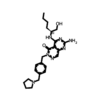 CCCC[C@@H](CO)Nc1nc(N)nc2cnn(Cc3ccc(CN4CCCC4)cc3)c(=O)c12